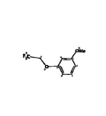 COc1cccc(OCC(F)(F)F)c1